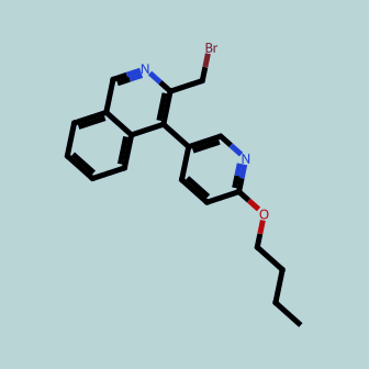 CCCCOc1ccc(-c2c(CBr)ncc3ccccc23)cn1